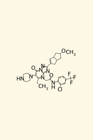 CCc1c(N2CCNCC2)c(=O)n2nc(C3=CC4CC(OC)CC4C3)nc2n1CC(=O)Nc1ccc(C(F)(F)F)cc1Cl